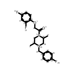 CC1CN(C(=O)COc2ccc(F)cc2F)C(C)CN1Cc1ccc(F)cc1